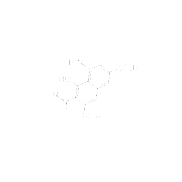 NNc1c(S(=O)(=O)O)cc2cc(S(=O)(=O)O)cc(N)c2c1O